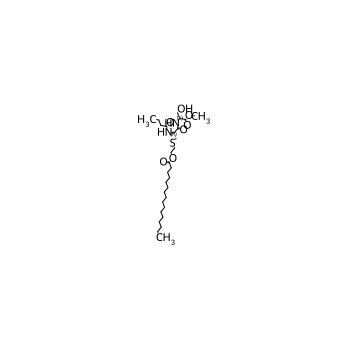 CCCCCCCCCCCCCCCC(=O)OCCSC[C@H](NC(=O)CCC)C(=O)N[C@@H](CO)C(=O)OC